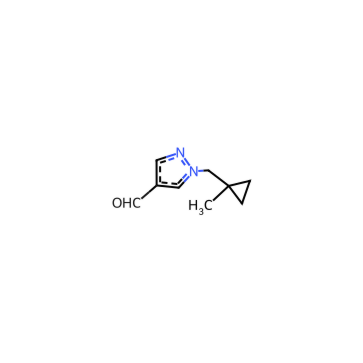 CC1(Cn2cc(C=O)cn2)CC1